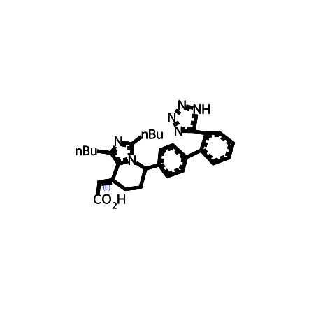 CCCCc1nc(CCCC)n2c1/C(=C/C(=O)O)CCC2c1ccc(-c2ccccc2-c2nnn[nH]2)cc1